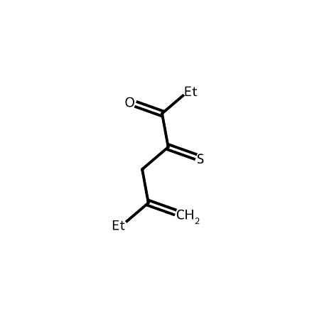 C=C(CC)CC(=S)C(=O)CC